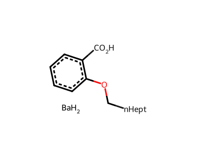 CCCCCCCCOc1ccccc1C(=O)O.[BaH2]